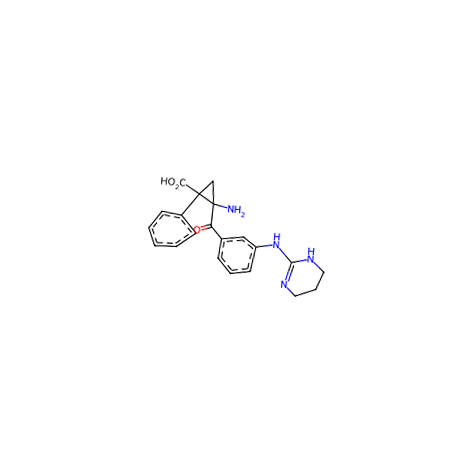 NC1(C(=O)c2cccc(NC3=NCCCN3)c2)CC1(C(=O)O)c1ccccc1